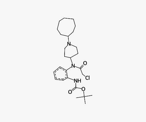 CC(C)(C)OC(=O)Nc1ccccc1N(C(=O)CCl)C1CCN(C2CCCCCCC2)CC1